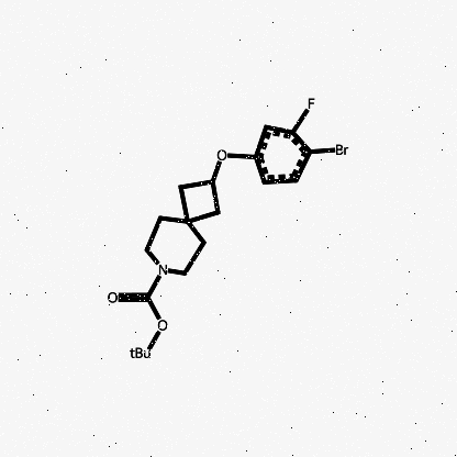 CC(C)(C)OC(=O)N1CCC2(CC1)CC(Oc1ccc(Br)c(F)c1)C2